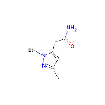 CCn1nc(C)cc1CC(N)=O